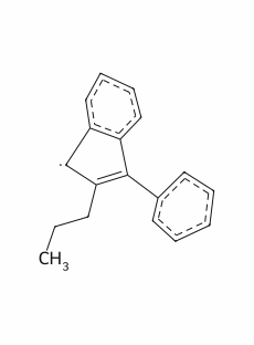 CCCC1=C(c2ccccc2)c2ccccc2[CH]1